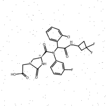 O=C(O)CN1C[C@@H](C(=O)N(c2cccc(F)c2)C(C(=O)NC2CC(F)(F)C2)c2ccccc2Cl)NC1=O